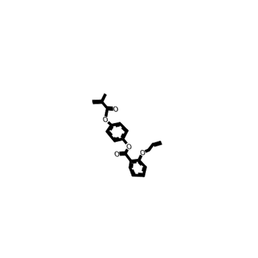 C=CCOc1ccccc1C(=O)Oc1ccc(OC(=O)C(=C)C)cc1